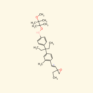 CCC1(/C=C/c2ccc(C(CC)(CC)c3ccc(BOC(C)(C)C(C)(C)OC)cc3)cc2C)CO1